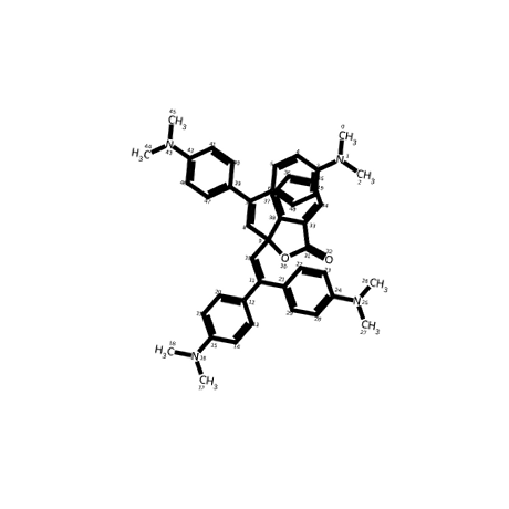 CN(C)c1ccc(C(=CC2(C=C(c3ccc(N(C)C)cc3)c3ccc(N(C)C)cc3)OC(=O)c3ccccc32)c2ccc(N(C)C)cc2)cc1